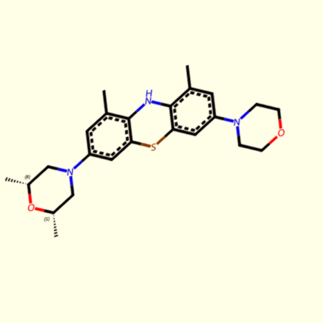 Cc1cc(N2CCOCC2)cc2c1Nc1c(C)cc(N3C[C@@H](C)O[C@@H](C)C3)cc1S2